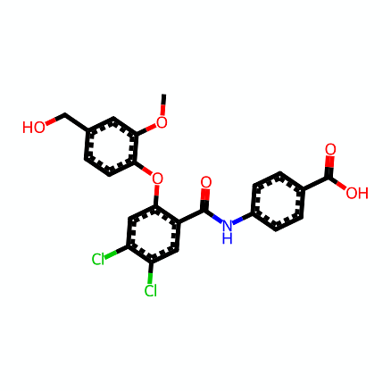 COc1cc(CO)ccc1Oc1cc(Cl)c(Cl)cc1C(=O)Nc1ccc(C(=O)O)cc1